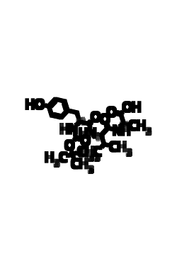 CC(C)[C@H](NC(=O)[C@H](Cc1ccc(O)cc1)NC(=O)OC(C)(C)C)C(=O)N[C@@H](C)C(=O)O